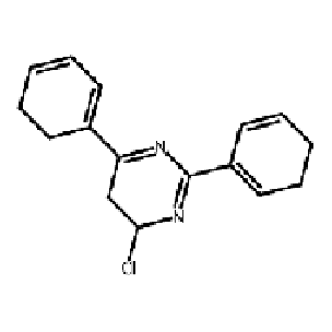 ClC1CC(C2=CC=CCC2)=NC(C2=CCCC=C2)=N1